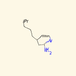 CC(C)CCCC1C=CN=C(N)C1